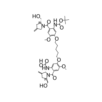 C=C1C[C@H](CO)N(C(=O)c2cc(OC)c(OCCCCCOc3cc(NC(=O)OC(C)(C)C)c(C(=O)N4CC(=C)C[C@@H]4CO)cc3OC)cc2NC(=O)O)C1